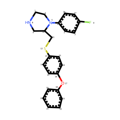 Fc1ccc(N2CCNCC2CSc2ccc(Oc3ccccc3)cc2)cc1